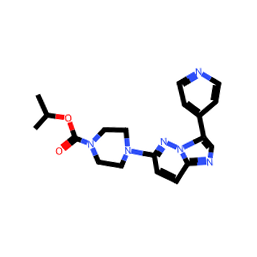 CC(C)OC(=O)N1CCN(c2ccc3ncc(-c4ccncc4)n3n2)CC1